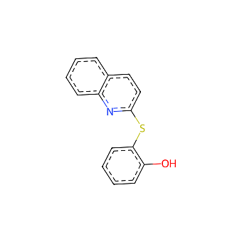 Oc1ccccc1Sc1ccc2ccccc2n1